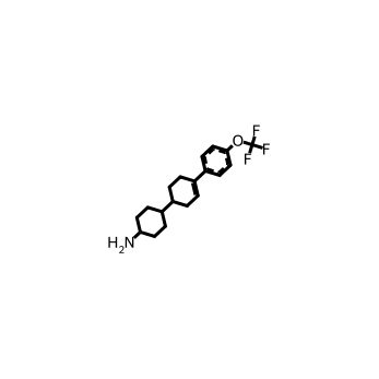 NC1CCC(C2CC=C(c3ccc(OC(F)(F)F)cc3)CC2)CC1